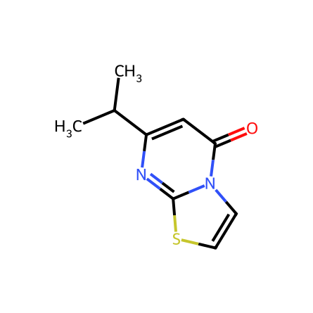 CC(C)c1cc(=O)n2ccsc2n1